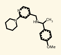 COc1ccc(C(C)NCc2ccnc(N3CCCCC3)c2)cc1